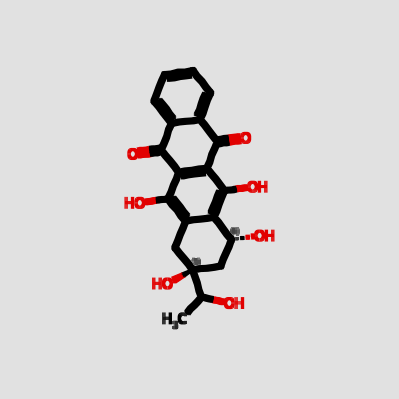 CC(O)[C@]1(O)Cc2c(O)c3c(c(O)c2[C@H](O)C1)C(=O)c1ccccc1C3=O